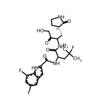 CC(C)(F)CC(NC(=O)c1cc2cc(F)cc(F)c2[nH]1)C(=O)NC(C[C@@H]1CCNC1=O)C(=O)CO